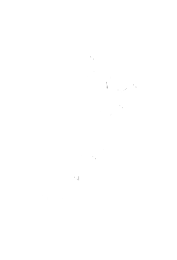 N#C[C@H](C[C@@H]1CCCNC1=O)NC(=O)CCC1CC2(CCCCC2)CN1C(=O)c1cc2cccc(Cl)c2[nH]1